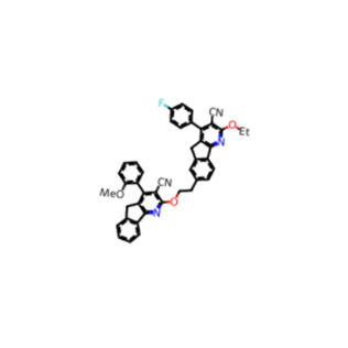 CCOc1nc2c(c(-c3ccc(F)cc3)c1C#N)Cc1cc(CCOc3nc4c(c(-c5ccccc5OC)c3C#N)Cc3ccccc3-4)ccc1-2